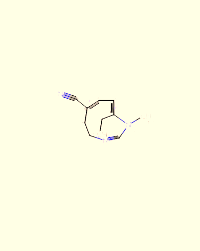 CC/C1=C\C=C(\C#N)CC/N=C\N1C